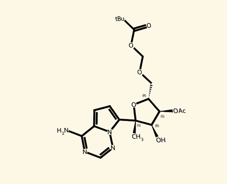 CC(=O)O[C@H]1[C@@H](O)[C@](C)(c2ccc3c(N)ncnn23)O[C@@H]1COCOC(=O)C(C)(C)C